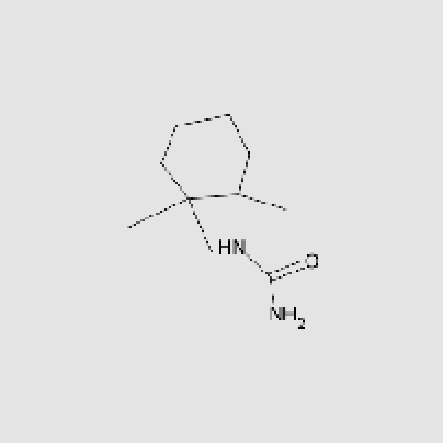 CC1(C)CCCCC1(C)NC(N)=O